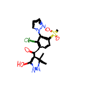 CC1(C)N=NC(O)=C1C(=O)c1ccc(S(C)(=O)=O)c(-n2cccn2)c1Cl